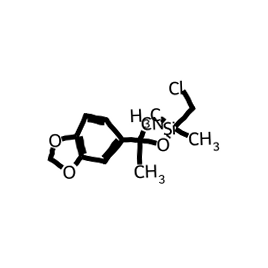 CC(C#N)(O[Si](C)(C)CCl)c1ccc2c(c1)OCO2